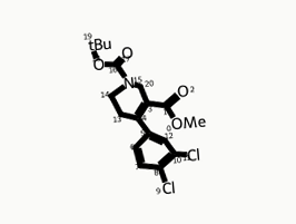 COC(=O)C1=C(c2ccc(Cl)c(Cl)c2)CCN(C(=O)OC(C)(C)C)C1